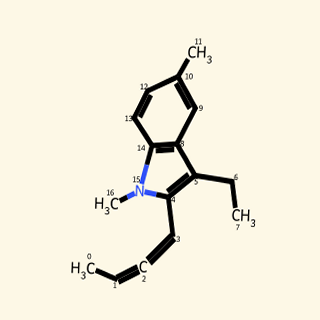 CC=C=Cc1c(CC)c2cc(C)ccc2n1C